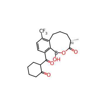 C[C@H]1CCCc2c(C(F)(F)F)ccc(C(=O)C3CCCCC3=O)c2B(O)OC1=O